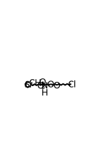 C[Si]1(CCCCOC(=O)NCCOCCOCCCCCCCl)CCC=CCC1